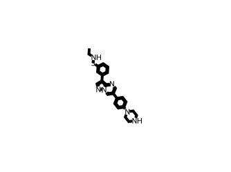 CCNSc1cccc(-c2cnn3cc(-c4ccc(N5CCNCC5)cc4)cnc23)c1